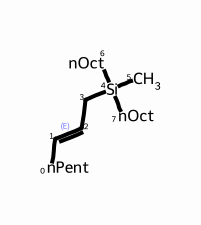 CCCCC/C=C/C[Si](C)(CCCCCCCC)CCCCCCCC